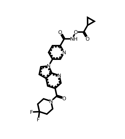 O=C(NOC(=O)C1CC1)c1ccc(-n2ccc3cc(C(=O)N4CCC(F)(F)CC4)cnc32)cn1